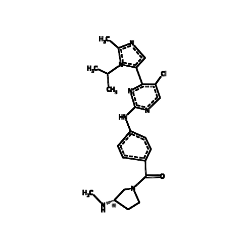 CN[C@H]1CCN(C(=O)c2ccc(Nc3ncc(Cl)c(-c4cnc(C)n4C(C)C)n3)cc2)C1